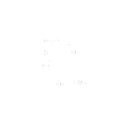 CC/C(=C(/F)C(=O)O)c1c(C)cc(OC)c(C)c1C